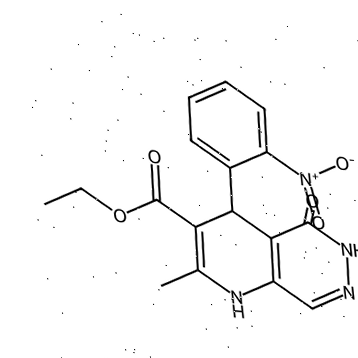 CCOC(=O)C1=C(C)Nc2cn[nH]c(=O)c2C1c1ccccc1[N+](=O)[O-]